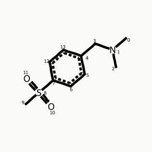 CN(C)Cc1ccc(S(C)(=O)=O)cc1